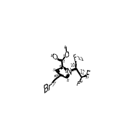 COC(=O)c1cc(Br)cn1C(F)C(F)F